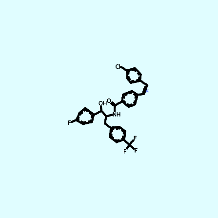 O=C(NC(Cc1ccc(C(F)(F)F)cc1)C(O)c1ccc(F)cc1)c1ccc(/C=C\c2ccc(Cl)cc2)cc1